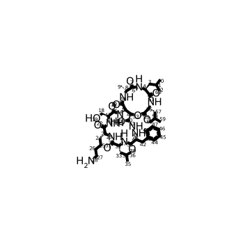 CC(C)C[C@@H]1NC(=O)[C@@H](C)NC(=O)[C@@H](NC(=O)[C@H](CO)NC(=O)[C@@H](CCCCN)NC(=O)[C@@H](CC(C)C)NC(=O)[C@H](N)Cc2ccccc2)[C@H](C(N)O)OC(=O)[C@@H](CC(C)C)NC1=O